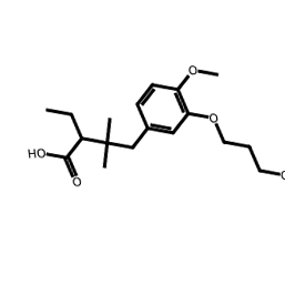 CCC(C(=O)O)C(C)(C)Cc1ccc(OC)c(OCCCOC)c1